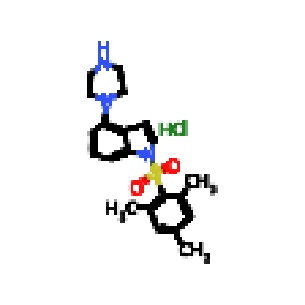 Cc1cc(C)c(S(=O)(=O)n2ccc3c(N4CCNCC4)cccc32)c(C)c1.Cl